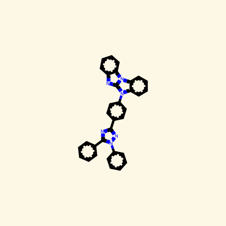 c1ccc(-c2nc(-c3ccc(-n4c5ccccc5n5c6ccccc6nc45)cc3)nn2-c2ccccc2)cc1